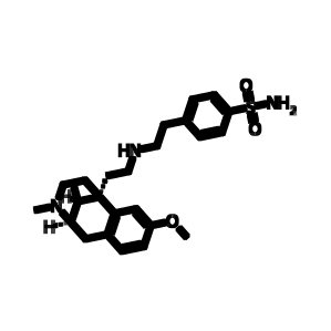 COc1ccc2c(c1)[C@]1(CCNCCc3ccc(S(N)(=O)=O)cc3)CCN(C)[C@H](C2)[C@@H]1C